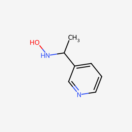 CC(NO)c1cccnc1